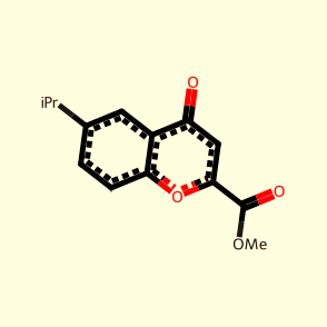 COC(=O)c1cc(=O)c2cc(C(C)C)c[c]c2o1